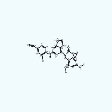 COc1ccc(CN(C(=O)C2CC2)c2nc(Nc3cnc(C#N)cc3C)cc3[nH]cnc23)c(OC)c1